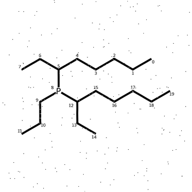 CCCCCC(CC)P(CCC)C(CC)CCCCC